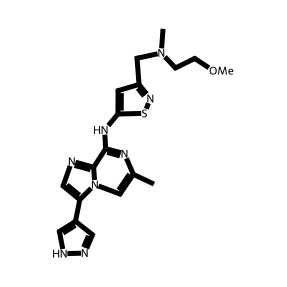 COCCN(C)Cc1cc(Nc2nc(C)cn3c(-c4cn[nH]c4)cnc23)sn1